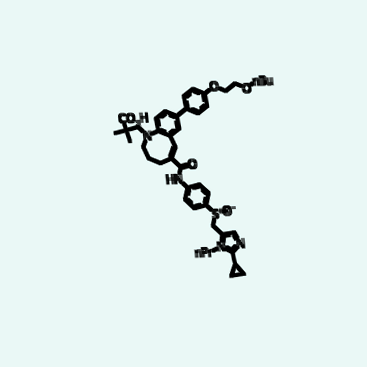 CCCCOCCOc1ccc(-c2ccc3c(c2)/C=C(/C(=O)Nc2ccc([S+]([O-])Cc4cnc(C5CC5)n4CCC)cc2)CCCN3CC(C)(C)C(=O)O)cc1